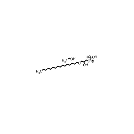 CCCCCCCCCCCCCCCCOCC(O)COP(=O)(O)O.CCO